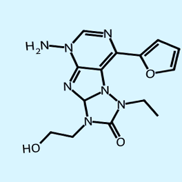 CCN1C(=O)N(CCO)C2N=C3C(=C(c4ccco4)N=CN3N)N21